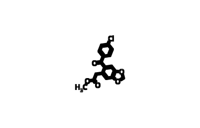 COC(=O)Cc1cc2c(cc1C(=O)c1ccc(Cl)cc1)OCO2